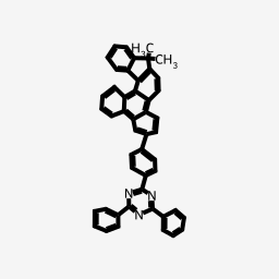 CC1(C)c2ccccc2-c2c1ccc1c3ccc(-c4ccc(-c5nc(-c6ccccc6)nc(-c6ccccc6)n5)cc4)cc3c3ccccc3c21